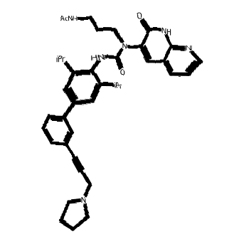 CC(=O)NCCCN(C(=O)Nc1c(C(C)C)cc(-c2cccc(C#CCN3CCCC3)c2)cc1C(C)C)c1cc2cccnc2[nH]c1=O